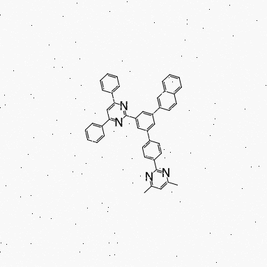 Cc1cc(C)nc(-c2ccc(-c3cc(-c4ccc5ccccc5c4)cc(-c4nc(-c5ccccc5)cc(-c5ccccc5)n4)c3)cc2)n1